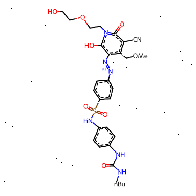 CCCCNC(=O)Nc1ccc(NS(=O)(=O)c2ccc(/N=N/c3c(COC)c(C#N)c(=O)n(CCOCCO)c3O)cc2)cc1